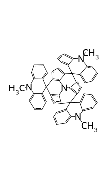 CN1c2ccccc2C2(c3ccccc31)c1cccc3c1N1c4c2cccc4C2(c4ccccc4N(C)c4ccccc42)c2cccc(c21)C31c2ccccc2N(C)c2ccccc21